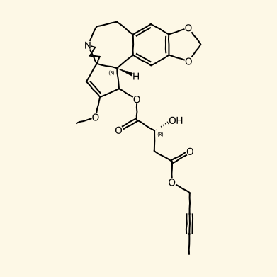 CC#CCOC(=O)C[C@@H](O)C(=O)OC1C(OC)=CC23CCCN2CCc2cc4c(cc2[C@H]13)OCO4